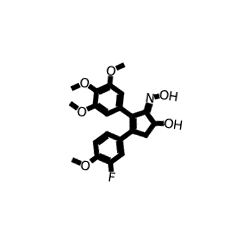 COc1ccc(C2=C(c3cc(OC)c(OC)c(OC)c3)C(=NO)C(O)C2)cc1F